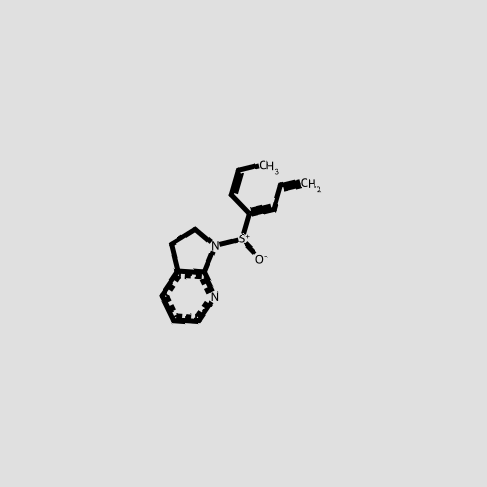 C=C/C=C(\C=C/C)[S+]([O-])N1CCc2cccnc21